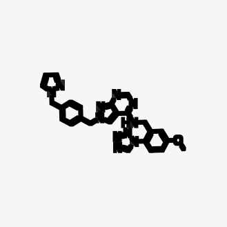 COc1ccc(-n2cnnn2)c(CNc2ncnc3nn(Cc4ccc(Cn5cccn5)cc4)cc23)c1